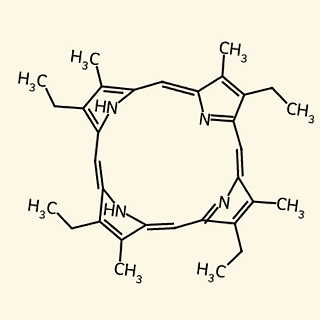 CCC1=C(C)c2cc3[nH]c(cc4[nH]c(cc5nc(cc1n2)C(C)=C5CC)c(C)c4CC)c(CC)c3C